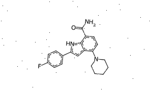 NC(=O)c1ccc(N2CCCCC2)c2cc(-c3ccc(F)cc3)[nH]c12